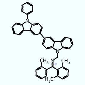 Cc1ccccc1/C(=N/Cn1c2ccccc2c2cc(-c3ccc4c(c3)c3ccccc3n4-c3ccccc3)ccc21)c1c(C)cccc1C